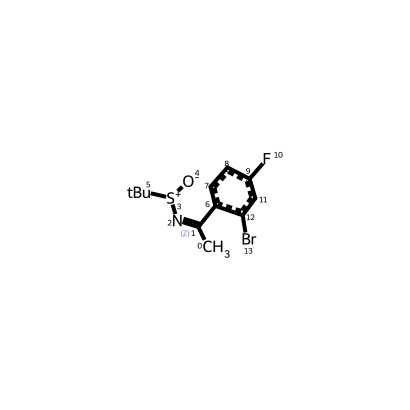 C/C(=N/[S+]([O-])C(C)(C)C)c1ccc(F)cc1Br